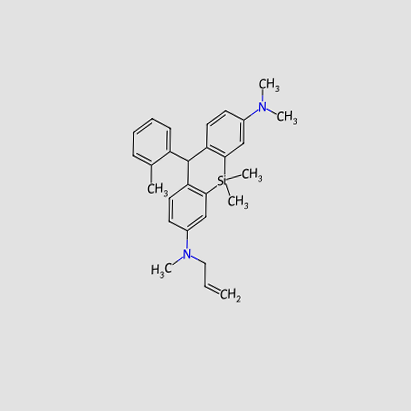 C=CCN(C)c1ccc2c(c1)[Si](C)(C)c1cc(N(C)C)ccc1C2c1ccccc1C